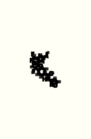 CCn1cc(S(=O)(=O)[C@@](C)(F)C2CCN(C(=O)Nc3ccon3)CC2)c(C(F)F)n1